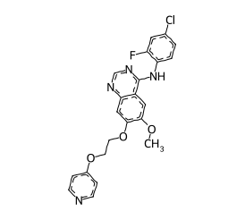 COc1cc2c(Nc3ccc(Cl)cc3F)ncnc2cc1OCCOc1ccncc1